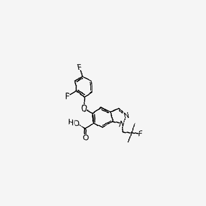 CC(C)(F)Cn1ncc2cc(Oc3ccc(F)cc3F)c(C(=O)O)cc21